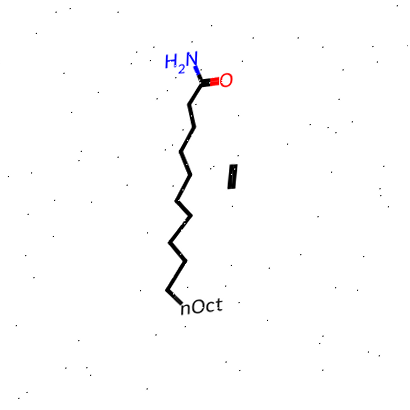 C=C.CCCCCCCCCCCCCCCCCC(N)=O